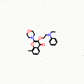 CCN(CCOc1c(N2CCOCC2)oc2c(C)cccc2c1=O)c1ccccc1